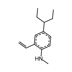 C=Cc1cc(C(CC)CC)ccc1NC